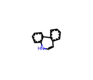 [C]1=Cc2ccccc2-c2ccccc2N1